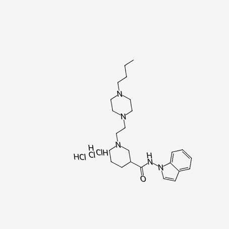 CCCCN1CCN(CCN2CCCC(C(=O)Nn3ccc4ccccc43)C2)CC1.Cl.Cl.Cl